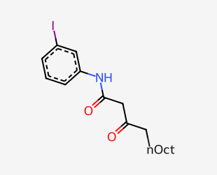 CCCCCCCCCC(=O)CC(=O)Nc1cccc(I)c1